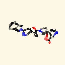 O=C1OC2(CCN(C(=O)C3(c4ccc(N5Cc6ccccc6C5)nc4)CC3)C2)c2ccncc21